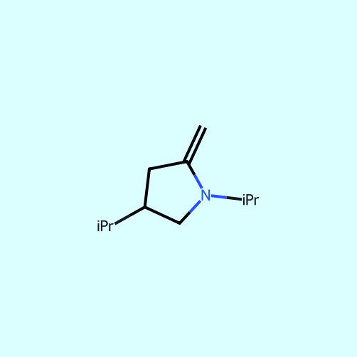 C=C1CC(C(C)C)CN1C(C)C